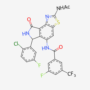 CC(=O)Nc1nc2c3c(c(NC(=O)c4cc(F)cc(C(F)(F)F)c4)cc2s1)C(c1cc(F)ccc1Cl)NC3=O